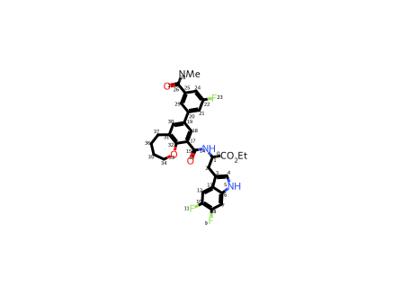 CCOC(=O)C(Cc1c[nH]c2cc(F)c(F)cc12)NC(=O)c1cc(-c2cc(F)cc(C(=O)NC)c2)cc2c1OCCCC2